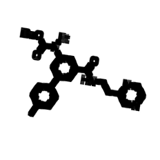 CCN(C(=O)OCC(C)C)c1cc(C(=O)NCCc2cnccn2)cc(-c2ccc(C)cc2)c1